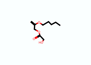 C=C(COC(=O)CO)OCCCCC